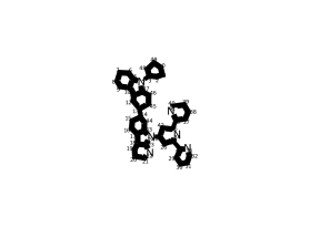 c1ccc(-n2c3ccccc3c3cc(-c4ccc5c6cccnc6n(-c6cc(-c7ccccn7)nc(-c7ccccn7)c6)c5c4)ccc32)cc1